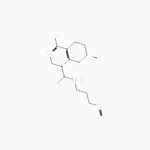 C=NCCCNC(C)C1CN=C(CC)C2=C1C[C@H](C)CC2